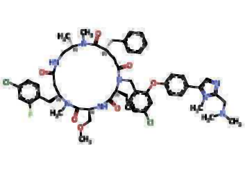 CC[C@H]1C(=O)N[C@@H](COC)C(=O)N(C)[C@@H](Cc2ccc(Cl)cc2F)CC(=O)NC[C@H](C)N(C)C(=O)[C@H](Cc2ccccc2)CC(=O)N1Cc1ccc(Cl)cc1Oc1ccc(-c2cnc(CN(C)C)n2C)cc1